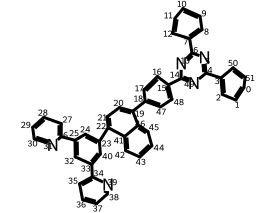 c1ccc(-c2nc(-c3ccccc3)nc(-c3ccc(-c4ccc(-c5cc(-c6ccccn6)cc(-c6ccccn6)c5)c5ccccc45)cc3)n2)cc1